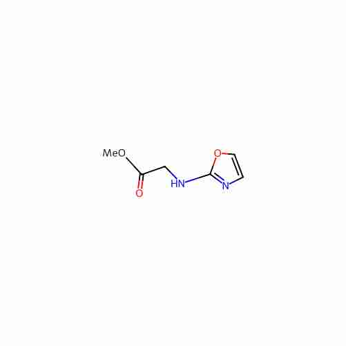 COC(=O)CNc1ncco1